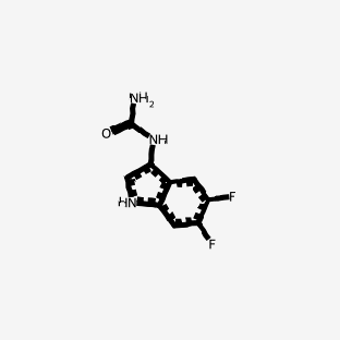 NC(=O)Nc1c[nH]c2cc(F)c(F)cc12